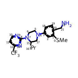 CSc1cc(N2CCN(c3nccc(C(F)(F)F)n3)C(C(C)C)C2)ccc1CN